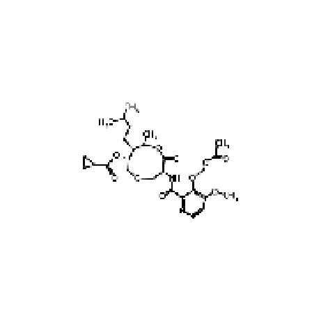 COc1ccnc(C(=O)N[C@H]2COC[C@H](OC(=O)C3CC3)[C@@H](CCC(C)C)[C@H](C)OC2=O)c1OCOC(C)=O